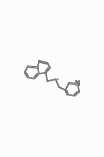 [CH](Cc1cccnc1)Cc1cccc2ccccc12